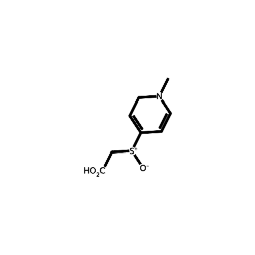 CN1C=CC([S+]([O-])CC(=O)O)=CC1